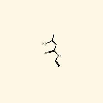 C=CNC(=N)CC(C)N